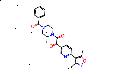 Cc1noc(C)c1-c1ccc(C(=O)C(=O)N2CCN(C(=O)c3ccccc3)C[C@H]2C)cn1